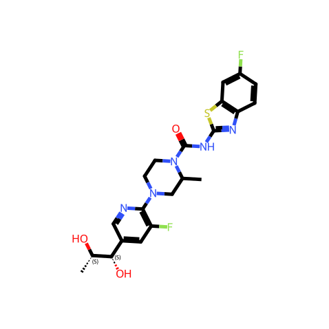 CC1CN(c2ncc([C@H](O)[C@H](C)O)cc2F)CCN1C(=O)Nc1nc2ccc(F)cc2s1